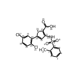 Cc1ccccc1S(=O)(=O)Nc1cc(-c2cc(Cl)ccc2Cl)sc1C(=O)O